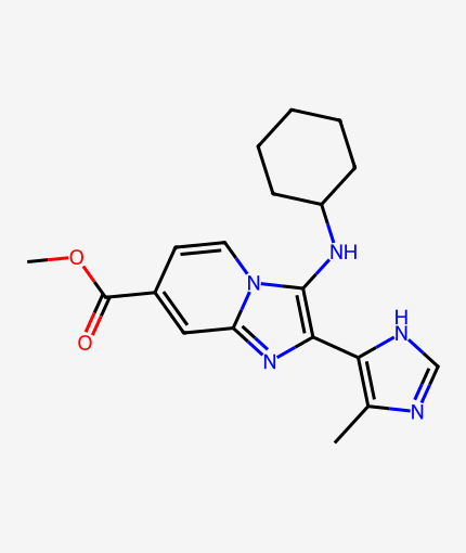 COC(=O)c1ccn2c(NC3CCCCC3)c(-c3[nH]cnc3C)nc2c1